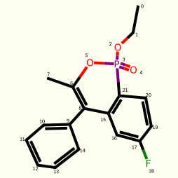 CCOP1(=O)OC(C)=C(c2ccccc2)c2cc(F)ccc21